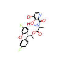 COc1cc(F)ccc1[C@@H](c1ccc(F)cc1)[C@H](C)OC(=O)[C@H](C)NC(=O)c1nccc(OC)c1O